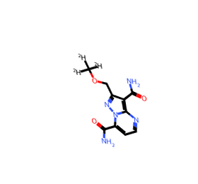 [2H]C([2H])([2H])OCc1nn2c(C(N)=O)ccnc2c1C(N)=O